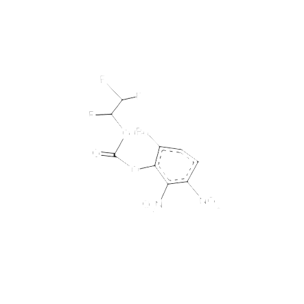 CCC(C)c1ccc([N+](=O)[O-])c([N+](=O)[O-])c1OC(=O)OC(F)C(F)F